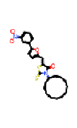 O=C1/C(=C/c2ccc(-c3cccc([N+](=O)[O-])c3)o2)SC(=S)N1C1CCCCCCCCCCC1